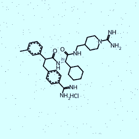 Cc1cccc(C(Cc2ccc(C(=N)N)cc2)C(=O)N[C@H](C(=O)NCC2CCN(C(=N)N)CC2)C2CCCCC2)c1.Cl